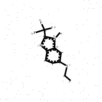 CCSc1ccc2nc(C(F)(F)F)n(C)c2c1